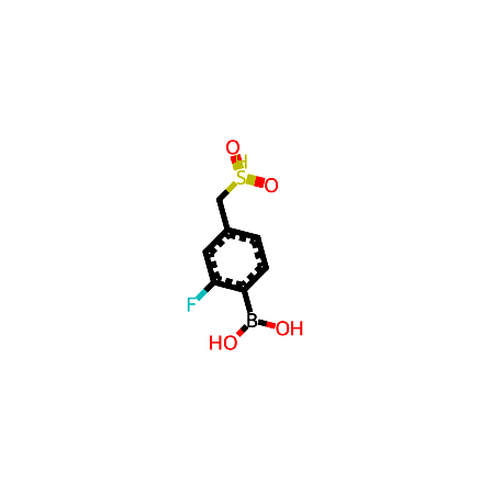 O=[SH](=O)Cc1ccc(B(O)O)c(F)c1